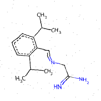 CC(C)c1cccc(C(C)C)c1C=NCC(=N)N